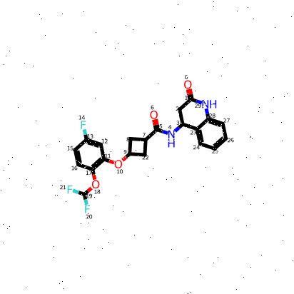 O=C1CC(NC(=O)C2CC(Oc3cc(F)ccc3OC(F)F)C2)c2ccccc2N1